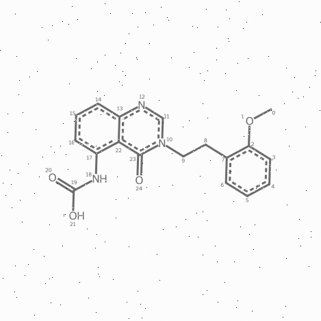 COc1ccccc1CCn1cnc2cccc(NC(=O)O)c2c1=O